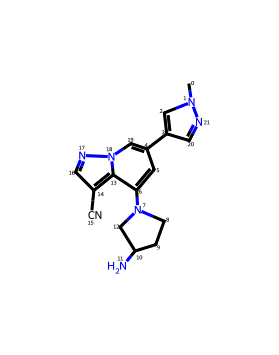 Cn1cc(-c2cc(N3CCC(N)C3)c3c(C#N)cnn3c2)cn1